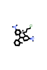 Cc1ccccc1C1=C2C=CC(=[N+](C)C)C=C2[Si](C)(CCCCl)c2cc(N(C)C)ccc21